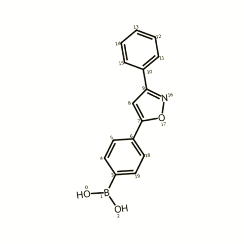 OB(O)c1ccc(-c2cc(-c3ccccc3)no2)cc1